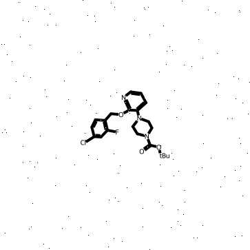 CC(C)(C)OC(=O)N1CCN(c2cccnc2OCc2ccc(Cl)cc2F)CC1